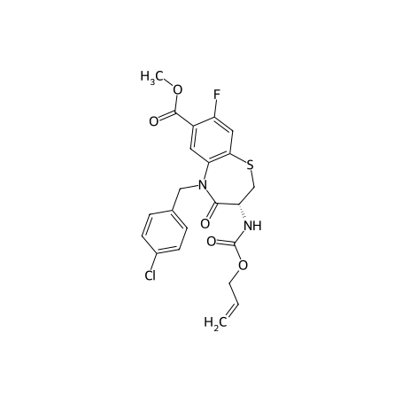 C=CCOC(=O)N[C@H]1CSc2cc(F)c(C(=O)OC)cc2N(Cc2ccc(Cl)cc2)C1=O